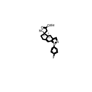 COC(=O)C[C@@]1(C#N)CCC2=Cc3c(cnn3-c3ccc(F)cc3)C[C@@]21C